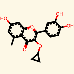 Cc1cc(O)cc2oc(-c3ccc(O)c(O)c3)c(OC3CC3)c(=O)c12